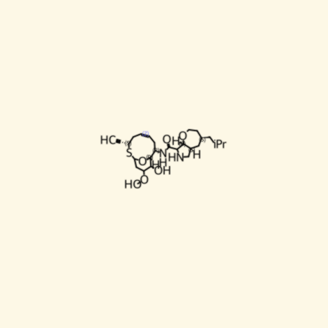 C#C[C@@H]1C/C=C\C[C@@H](NC(=O)C2NC[C@@H]3C[C@H](CC(C)C)CCO[C@@H]23)[C@H]2OC(CC(OO)C2O)S1